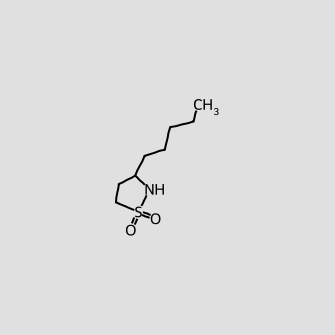 CCCCCC1CCS(=O)(=O)N1